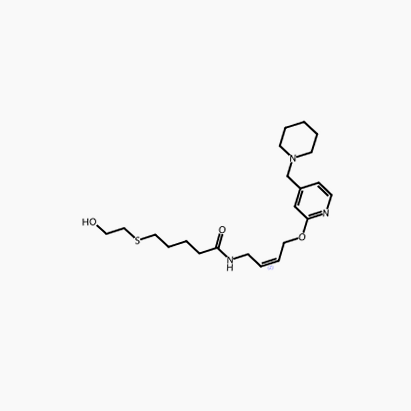 O=C(CCCCSCCO)NC/C=C\COc1cc(CN2CCCCC2)ccn1